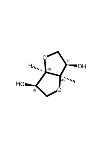 C[C@]12OC[C@@H](O)[C@H]1OC[C@H]2O